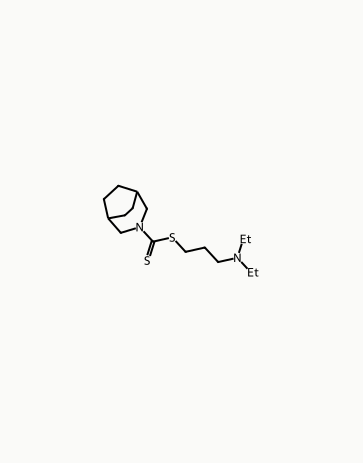 CCN(CC)CCCSC(=S)N1CC2CCC(CC2)C1